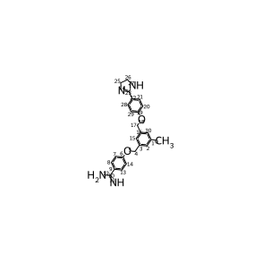 Cc1cc(COc2ccc(C(=N)N)cc2)cc(COc2ccc(C3=NCCN3)cc2)c1